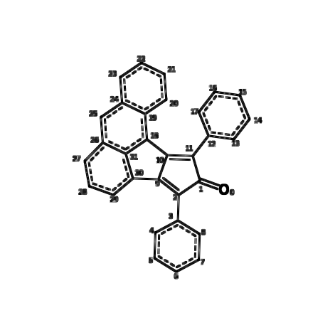 O=C1C(c2ccccc2)=C2C(=C1c1ccccc1)c1c3ccccc3cc3cccc2c13